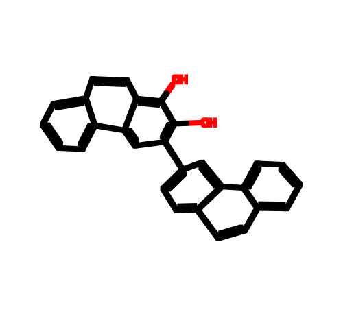 Oc1c(-c2ccc3ccc4ccccc4c3c2)cc2c(ccc3ccccc32)c1O